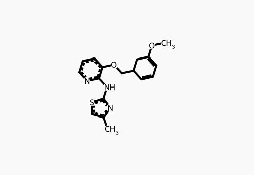 COC1=CC=CC(COc2cccnc2Nc2nc(C)cs2)C1